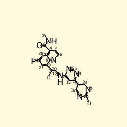 CNC(=O)c1ccnc2c([C@H](C)CNc3cc(-c4cnc(C)nc4)ncn3)cc(F)cc12